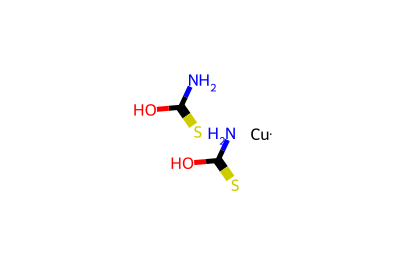 NC(O)=S.NC(O)=S.[Cu]